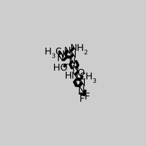 Cc1nc(N2CC(F)(F)C2)ccc1NC(=O)N1CCN(c2nc(N)nc3c2cnn3C)[C@@H](CO)C1